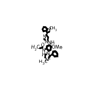 C=CC(=O)Nc1cc(Nc2cc(-c3cn(C)c4ccccc34)ncn2)c(OC)cc1N1CCN(C)CC1c1ccccc1